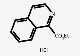 CCOC(=O)c1nccc2ccccc12.Cl